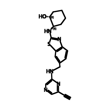 C#Cc1cncc(NCc2ccc3nc(N[C@@H]4CCCC[C@H]4O)sc3c2)n1